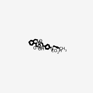 CC#CCN(C(=O)O)c1ccc(CCS(=O)(=O)N2CCc3ccccc3C2C(=O)NO)cc1